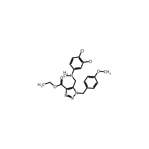 CCOC(=O)c1nnn(Cc2ccc(OC)cc2)c1CN(C)c1ccc(Cl)c(Cl)c1